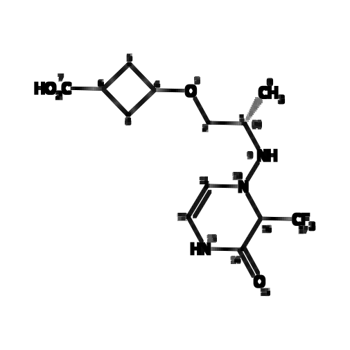 C[C@@H](COC1CC(C(=O)O)C1)NN1C=CNC(=O)C1C(F)(F)F